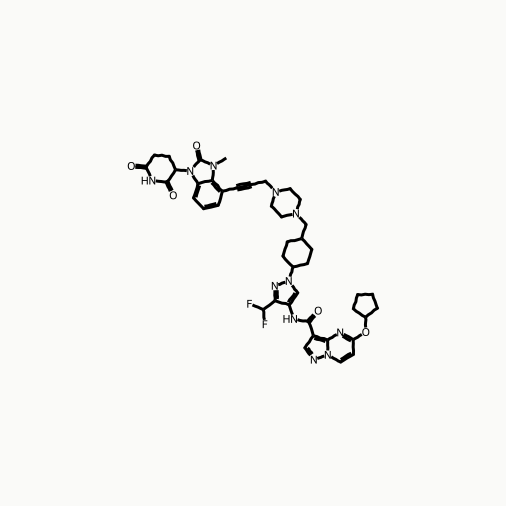 Cn1c(=O)n(C2CCC(=O)NC2=O)c2cccc(C#CCN3CCN(CC4CCC(n5cc(NC(=O)c6cnn7ccc(OC8CCCC8)nc67)c(C(F)F)n5)CC4)CC3)c21